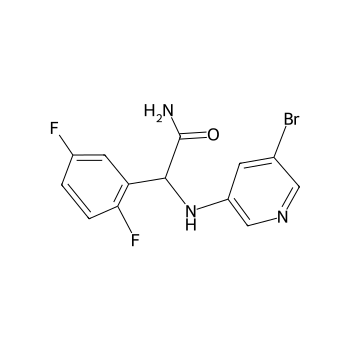 NC(=O)C(Nc1cncc(Br)c1)c1cc(F)ccc1F